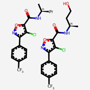 CC(C)[C@H](C)NC(=O)c1onc(-c2ccc(C(F)(F)F)cc2)c1Cl.C[C@H](CCO)NC(=O)c1onc(-c2ccc(C(F)(F)F)cc2)c1Cl